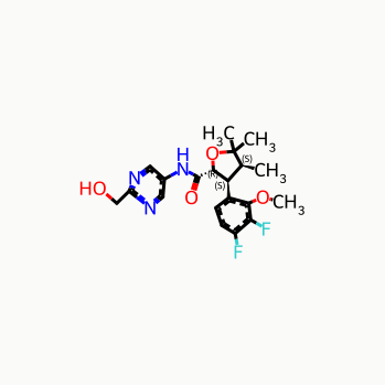 COc1c([C@H]2[C@H](C(=O)Nc3cnc(CO)nc3)OC(C)(C)[C@H]2C)ccc(F)c1F